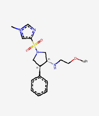 CCCOCCN[C@H]1CN(S(=O)(=O)c2cn(C)cn2)C[C@@H]1c1ccccc1